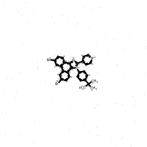 CC(C)(C)c1ccc(-n2c(-c3ccncc3)nc3c4ccc(Br)cc4c4cc(Br)ccc4c32)cc1